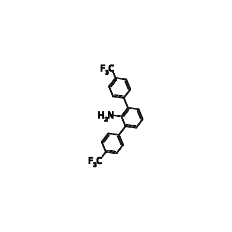 Nc1c(-c2ccc(C(F)(F)F)cc2)cccc1-c1ccc(C(F)(F)F)cc1